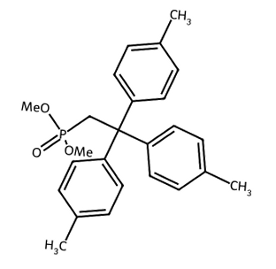 COP(=O)(CC(c1ccc(C)cc1)(c1ccc(C)cc1)c1ccc(C)cc1)OC